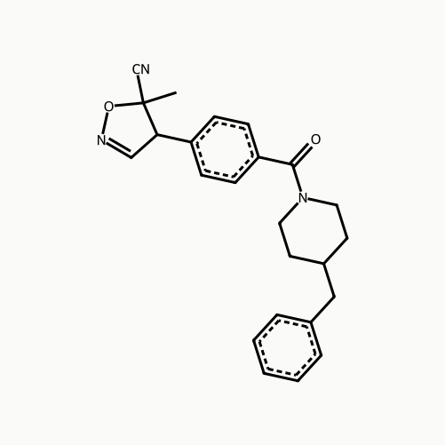 CC1(C#N)ON=CC1c1ccc(C(=O)N2CCC(Cc3ccccc3)CC2)cc1